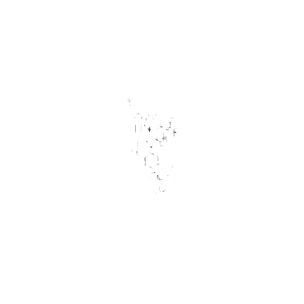 C=CCOC(=O)N[C@H](C(=O)Nc1cc(C[C@@H](C)C(=O)OCC)ccc1Cl)C(C)C(F)(F)F